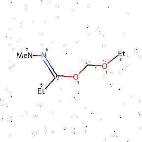 CCOCOC(CC)=NNC